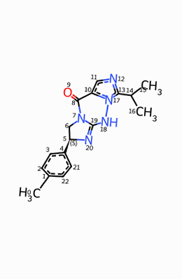 Cc1ccc([C@H]2CN3C(=O)c4cnc(C(C)C)n4NC3=N2)cc1